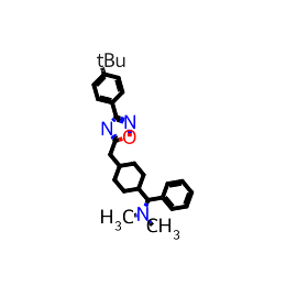 CN(C)C(c1ccccc1)C1CCC(Cc2nc(-c3ccc(C(C)(C)C)cc3)no2)CC1